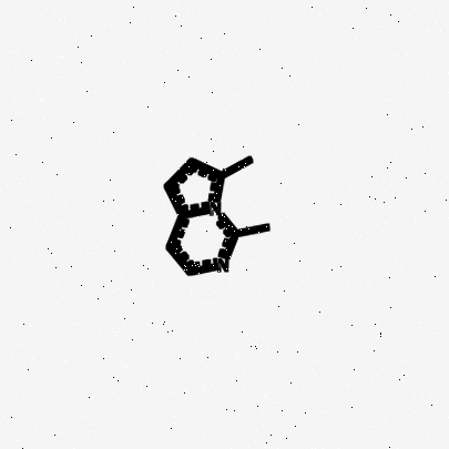 Cc1ccc2ccnc(C)n12